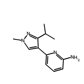 CC(C)c1nn(C)cc1-c1cccc(N)n1